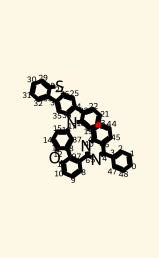 c1ccc(-c2nc(-c3cccc4oc5ccc(-n6c7ccccc7c7cc8sc9ccccc9c8cc76)cc5c34)nc3ccccc23)cc1